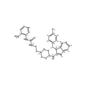 Nc1ccncc1NC(=S)NCCN1CCC(Nc2nc3cncnc3n2Cc2ccc(F)cc2)CC1